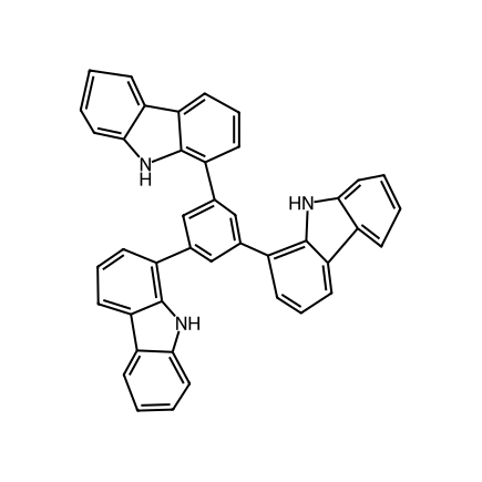 c1ccc2c(c1)[nH]c1c(-c3cc(-c4cccc5c4[nH]c4ccccc45)cc(-c4cccc5c4[nH]c4ccccc45)c3)cccc12